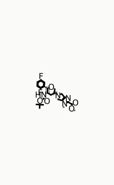 COC(=O)c1nc2c(n1C)CN([C@H]1CO[C@H](c3cc(F)ccc3F)[C@@H](NC(=O)OC(C)(C)C)C1)C2